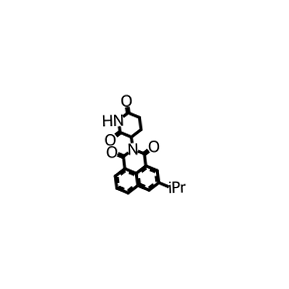 CC(C)c1cc2c3c(cccc3c1)C(=O)N(C1CCC(=O)NC1=O)C2=O